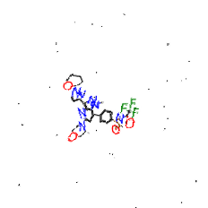 C[C@@H]1COCCN1c1cc(-c2ccc(S(C)(=O)=NC(=O)C(F)(F)F)cc2)c2c(n1)c(-c1ccn(C3CCCCO3)n1)nn2C